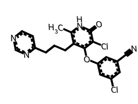 Cc1[nH]c(=O)c(Cl)c(Oc2cc(Cl)cc(C#N)c2)c1CCCc1ccncn1